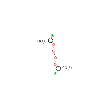 CCOC(=O)c1cc(Br)cc(OCCOCCOCCOc2cc(Br)cc(C(=O)OCC)c2)c1